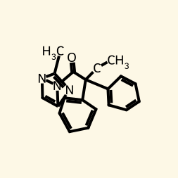 CCC(C(=O)n1c2cn1c(C)n2)(c1ccccc1)c1ccccc1